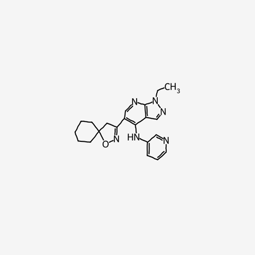 CCn1ncc2c(Nc3cccnc3)c(C3=NOC4(CCCCC4)C3)cnc21